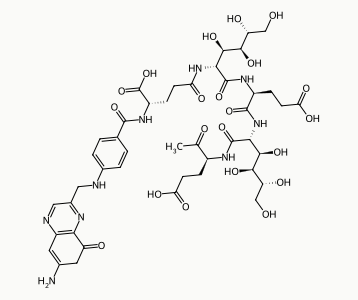 CC(=O)[C@H](CCC(=O)O)NC(=O)[C@H](NC(=O)[C@H](CCC(=O)O)NC(=O)[C@H](NC(=O)CC[C@H](NC(=O)c1ccc(NCc2cnc3c(n2)C(=O)CC(N)=C3)cc1)C(=O)O)[C@@H](O)[C@H](O)[C@H](O)CO)[C@@H](O)[C@H](O)[C@H](O)CO